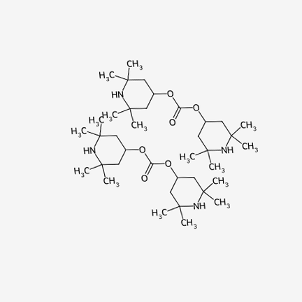 CC1(C)CC(OC(=O)OC2CC(C)(C)NC(C)(C)C2)CC(C)(C)N1.CC1(C)CC(OC(=O)OC2CC(C)(C)NC(C)(C)C2)CC(C)(C)N1